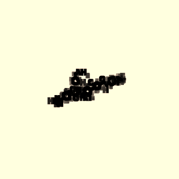 Cc1cc(C(=O)NC2CCN(CC(F)(F)F)CC2)ccc1-c1ccc(C[C@H](NC(=O)[C@H]2CC[C@H](CN)CC2)C(=O)Nc2ccc(-c3nn[nH]n3)cc2)cc1.Cl